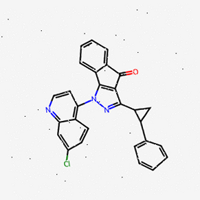 O=C1c2ccccc2-c2c1c(C1CC1c1ccccc1)nn2-c1ccnc2cc(Cl)ccc12